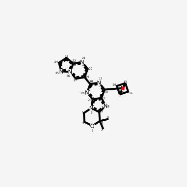 CC1(C)OCCn2c1nc1c(N3CC4CC3C4)nc(-c3cnc4ccnn4c3)nc12